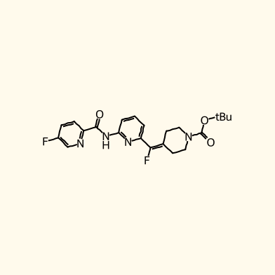 CC(C)(C)OC(=O)N1CCC(=C(F)c2cccc(NC(=O)c3ccc(F)cn3)n2)CC1